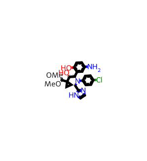 COC(OC)C1([C@H](O)[C@H](c2cc(N)ccc2O)N(Cc2ncc[nH]2)c2ccc(Cl)cc2)CC1